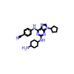 N#Cc1ccc(Nc2nc(NC3CCC(N)CC3)nc3c2ncn3C2CCCC2)cc1